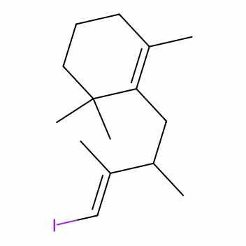 CC1=C(CC(C)/C(C)=C/I)C(C)(C)CCC1